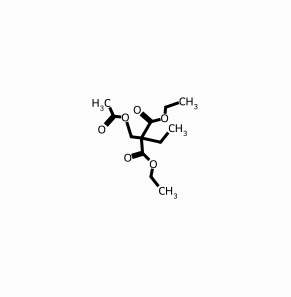 CCOC(=O)C(CC)(COC(C)=O)C(=O)OCC